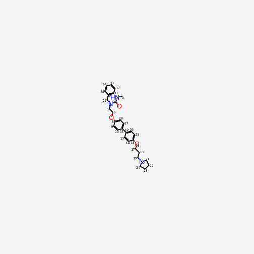 CNC(=O)N(CCOc1ccc(-c2ccc(OCCCN3CCCC3)cc2)cc1)Cc1ccccc1